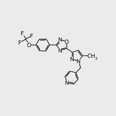 Cc1cc(-c2nc(-c3ccc(OC(F)(F)F)cc3)no2)nn1Cc1ccncc1